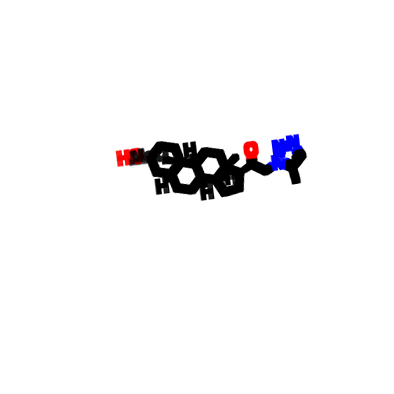 COC[C@]12CC[C@@H](O)C[C@@H]1CC[C@H]1[C@@H]3CC[C@H](C(=O)Cn4nncc4C)[C@@]3(C)CC[C@@H]12